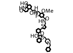 COc1cc(C(=O)NCc2ccc(-c3cccc([C@](O)(C(=O)OCC4CCN(Cc5ccccc5)CC4)c4ccccc4)c3)s2)cc(F)c1CNC[C@H](O)c1ccc(O)c2[nH]c(=O)ccc12